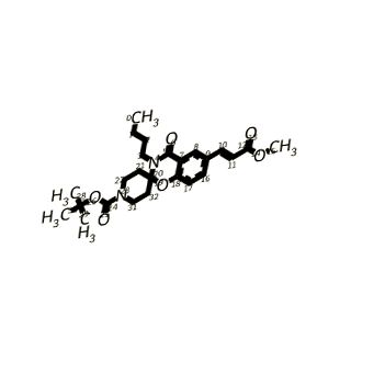 CCCCN1C(=O)c2cc(C=CC(=O)OC)ccc2OC12CCN(C(=O)OC(C)(C)C)CC2